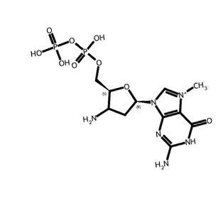 C[n+]1cn([C@H]2CC(N)[C@@H](COP(=O)(O)OP(=O)(O)O)O2)c2nc(N)[nH]c(=O)c21